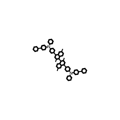 Cc1ccc2c(-c3c(C)cc(-c4ccc(N(c5ccccc5)c5ccc(-c6ccccc6)cc5)cc4)c4cc(C)ccc34)c(C)cc(-c3ccc(N(c4ccccc4)c4ccc(-c5ccccc5)cc4)cc3)c2c1